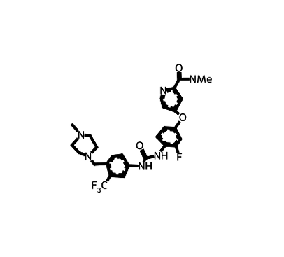 CNC(=O)c1cc(Oc2ccc(NC(=O)Nc3ccc(CN4CCN(C)CC4)c(C(F)(F)F)c3)c(F)c2)ccn1